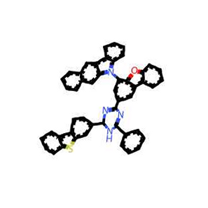 c1ccc(C2=NC(c3cc(-n4c5ccccc5c5cc6ccccc6cc54)c4oc5ccccc5c4c3)=NC(c3ccc4c(c3)sc3ccccc34)N2)cc1